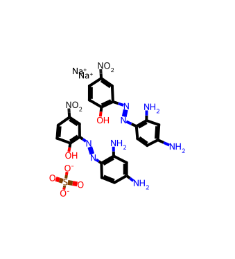 Nc1ccc(N=Nc2cc([N+](=O)[O-])ccc2O)c(N)c1.Nc1ccc(N=Nc2cc([N+](=O)[O-])ccc2O)c(N)c1.O=S(=O)([O-])[O-].[Na+].[Na+]